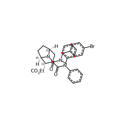 CCOC(=O)[C@@H]1[C@H]2CC[C@@H](CN1C(=O)N(c1ccccc1)c1ccccc1)N2C(=O)N(C)Cc1ccc(Br)cc1